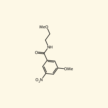 COCCNC(=O)c1cc(OC)cc([N+](=O)[O-])c1